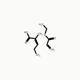 C=CC(=O)OCC.CCC=C(C)C(=O)O